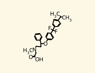 CC(C)c1ccc(C(F)(F)c2ccc(OC(CCN(C)CC(=O)O)c3ccccc3)cc2)cc1